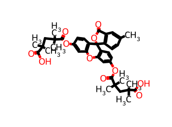 Cc1ccc2c(c1)C(=O)OC21c2ccc(OC(=O)C(C)(C)CC(C)(C)C(=O)O)cc2Oc2cc(OC(=O)C(C)(C)CC(C)(C)C(=O)O)ccc21